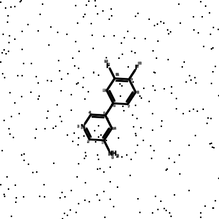 Nc1cncc(-c2ccc(F)c(F)c2)c1